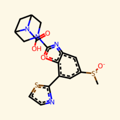 C[S+]([O-])c1cc(-c2nccs2)c2oc(N3CC4CC(C3)N4C(=O)O)nc2c1